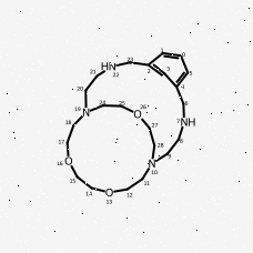 c1cc2cc(c1)CNCCN1CCOCCOCCN(CCNC2)CCOCC1